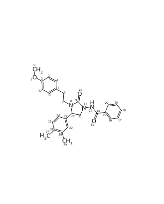 COc1ccc(CCN2C(=O)N(NC(=O)c3ccccc3)CC2c2ccc(C)c(C)c2)cc1